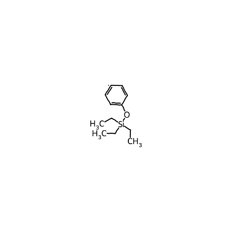 CC[Si](CC)(CC)Oc1cc[c]cc1